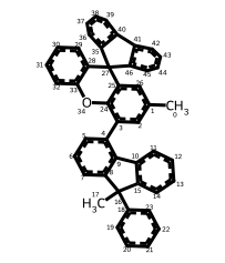 Cc1cc(-c2cccc3c2-c2ccccc2C3(C)c2ccccc2)c2c(c1)C1(c3ccccc3O2)c2ccccc2-c2ccccc21